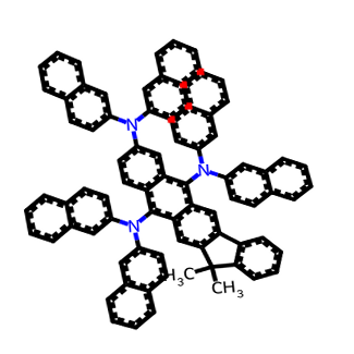 CC1(C)c2ccccc2-c2cc3c(N(c4ccc5ccccc5c4)c4ccc5ccccc5c4)c4cc(N(c5ccc6ccccc6c5)c5ccc6ccccc6c5)ccc4c(N(c4ccc5ccccc5c4)c4ccc5ccccc5c4)c3cc21